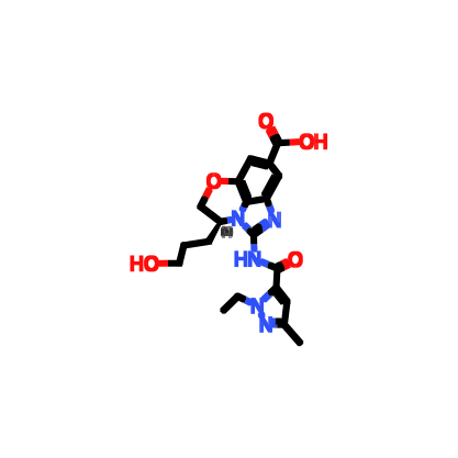 CCn1nc(C)cc1C(=O)Nc1nc2cc(C(=O)O)cc3c2n1[C@@H](CCCO)CO3